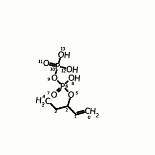 C=CC(CC)OP(=O)(O)OP(=O)(O)O